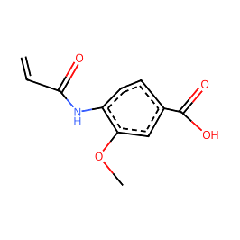 C=CC(=O)Nc1ccc(C(=O)O)cc1OC